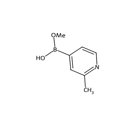 COB(O)c1ccnc(C)c1